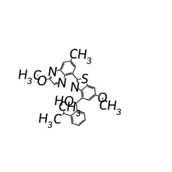 COc1cc(C(O)c2ccccc2C(C)C)c2nc(-c3cc(C)cc4nc(OC)cnc34)sc2c1